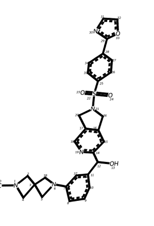 CN1CC2(C1)CN(c1cccc(C(O)c3cc4c(cn3)CN(S(=O)(=O)c3ccc(-c5ncco5)cc3)C4)c1)C2